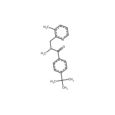 Cc1cccnc1CN(C)C(=O)c1ccc(C(C)(C)C)cc1